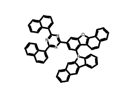 c1ccc2cc3c(cc2c1)c1ccccc1n3-c1cc(-c2nc(-c3cccc4ccccc34)nc(-c3cccc4ccccc34)n2)cc2oc3c4ccccc4ccc3c12